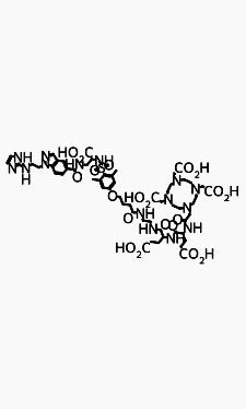 Cc1cc(OCCCC(=O)NCCNC(=O)C(CCC(=O)O)NC(=O)[C@H](CCC(=O)O)NC(=O)CN2CCN(CC(=O)O)CCN(CC(=O)O)CCN(CC(=O)O)CC2)cc(C)c1S(=O)(=O)N[C@@H](CNC(=O)c1ccc2c(cnn2CCNc2ncc[nH]2)c1)C(=O)O